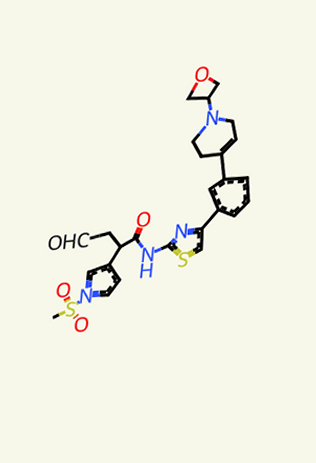 CS(=O)(=O)n1ccc(C(CC=O)C(=O)Nc2nc(-c3cccc(C4=CCN(C5COC5)CC4)c3)cs2)c1